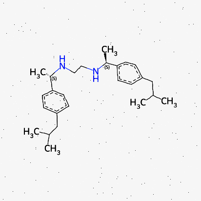 CC(C)Cc1ccc([C@H](C)NCCN[C@@H](C)c2ccc(CC(C)C)cc2)cc1